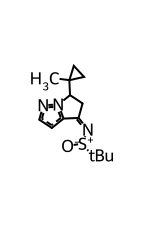 CC1(C2C/C(=N/[S@@+]([O-])C(C)(C)C)c3ccnn32)CC1